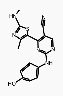 CNc1nc(C)c(-c2nc(Nc3ccc(O)cc3)ncc2C#N)s1